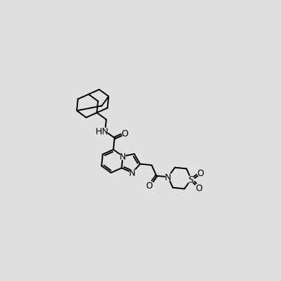 O=C(NCC12CC3CC(CC(C3)C1)C2)c1cccc2nc(CC(=O)N3CCS(=O)(=O)CC3)cn12